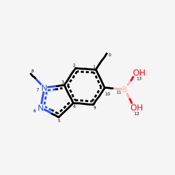 Cc1cc2c(cnn2C)cc1B(O)O